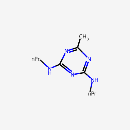 CCCNc1nc(C)nc(NCCC)n1